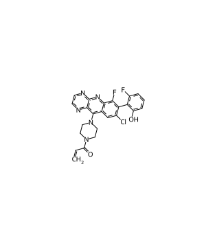 C=CC(=O)N1CCN(c2c3cc(Cl)c(-c4c(O)cccc4F)c(F)c3nc3nccnc23)CC1